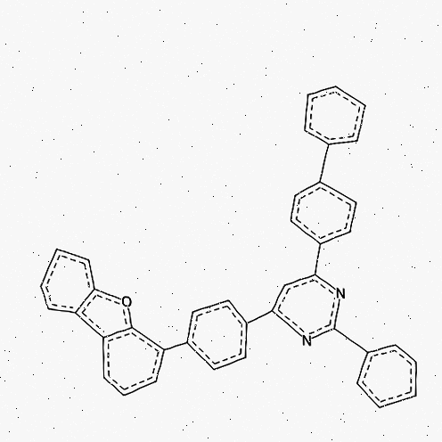 c1ccc(-c2ccc(-c3cc(-c4ccc(-c5cccc6c5oc5ccccc56)cc4)nc(-c4ccccc4)n3)cc2)cc1